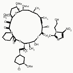 CC[C@@H]1/C=C(\C)C[C@H](C)C[C@H](OC)[C@H]2O[C@@](O)(C(=O)C(=O)N3CCCC[C@H]3C(=O)O[C@H](/C(C)=C/[C@@H]3CC[C@@H](Cl)[C@H](OC)C3)[C@H](C)[C@@H](O)CC1=O)[C@H](C)C[C@@H]2OC.Cc1ncc([N+](=O)[O-])n1CCO